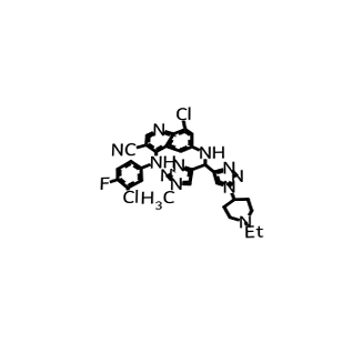 CCN1CCC(n2cc(C(Nc3cc(Cl)c4ncc(C#N)c(Nc5ccc(F)c(Cl)c5)c4c3)c3cn(C)nn3)nn2)CC1